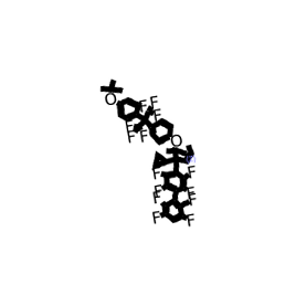 C/C=C\C(c1c(F)c(F)c(-c2c(F)c(F)cc(F)c2F)c(F)c1F)(C1CC1)C(C)(C)Oc1ccc(C(c2ccc(OC(C)(C)C)cc2)(C(F)(F)F)C(F)(F)F)cc1